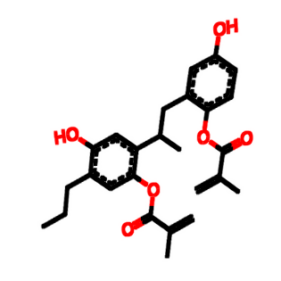 C=C(C)C(=O)Oc1ccc(O)cc1CC(C)c1cc(O)c(CCC)cc1OC(=O)C(=C)C